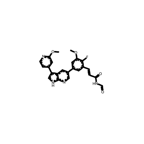 COc1cc(-c2c[nH]c3ncc(-c4cc(C=CC(=O)NC=O)c(F)c(OC)c4)cc23)ccn1